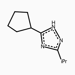 CC(C)c1n[nH]c(C2CCCC2)n1